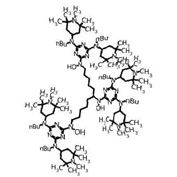 CCCCN(c1nc(N(O)CCCCCC(CCCCCN(O)c2nc(N(CCCC)C3CC(C)(C)N(C)C(C)(C)C3)nc(N(CCCC)C3CC(C)(C)N(C)C(C)(C)C3)n2)N(O)c2nc(N(CCCC)C3CC(C)(C)N(C)C(C)(C)C3)nc(N(CCCC)C3CC(C)(C)N(C)C(C)(C)C3)n2)nc(N(CCCC)C2CC(C)(C)N(C)C(C)(C)C2)n1)C1CC(C)(C)N(C)C(C)(C)C1